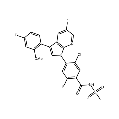 COc1cc(F)ccc1-c1cn(-c2cc(F)c(C(=O)NS(C)(=O)=O)cc2Cl)c2ncc(Cl)cc12